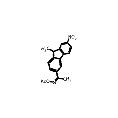 CC(=O)O/N=C(/C)c1ccc2c(c1)-c1ccc([N+](=O)[O-])cc1C2C